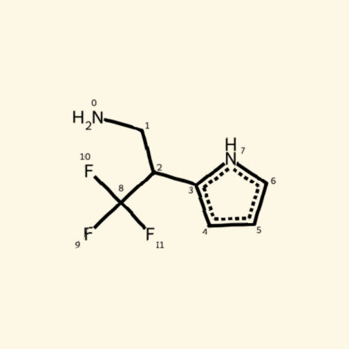 NCC(c1ccc[nH]1)C(F)(F)F